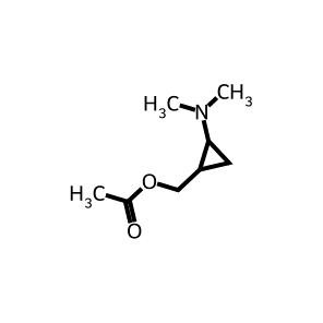 CC(=O)OCC1CC1N(C)C